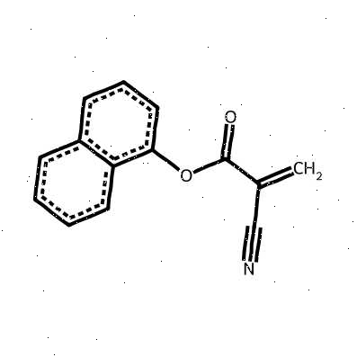 C=C(C#N)C(=O)Oc1cccc2ccccc12